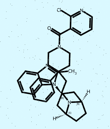 Cc1nc2ccccc2n1[C@H]1C[C@H]2CC[C@@H](C1)N2CCC1(c2ccccc2)CCN(C(=O)c2cccnc2Cl)CC1